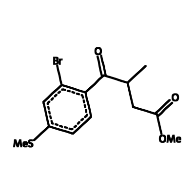 COC(=O)CC(C)C(=O)c1ccc(SC)cc1Br